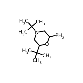 CC(C)(C)C1CN(C(C)(C)C)CC(P)O1